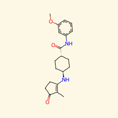 COc1cccc(NC(=O)[C@H]2CC[C@H](NC3=C(C)C(=O)CC3)CC2)c1